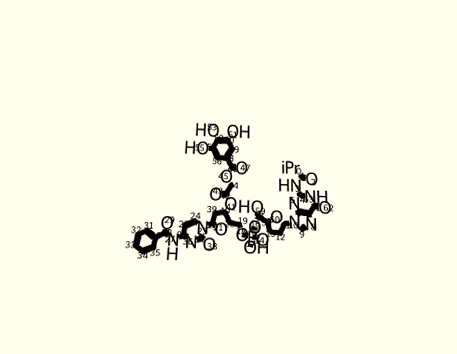 CC(C)C(=O)Nc1nc2c(ncn2C2CC(OP(=O)(O)OCC3OC(n4ccc(NC(=O)c5ccccc5)nc4=O)CC3OC(=O)COC(=O)c3cc(O)c(O)c(O)c3)C(CO)O2)c(=O)[nH]1